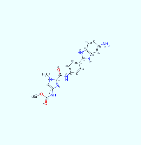 Cn1cc(NC(=O)OC(C)(C)C)nc1C(=O)Nc1ccc(-c2nc3cc(N)ccc3[nH]2)cc1